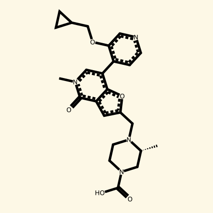 C[C@@H]1CN(C(=O)O)CCN1Cc1cc2c(=O)n(C)cc(-c3ccncc3OCC3CC3)c2o1